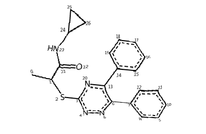 CC(Sc1nnc(-c2ccccc2)c(-c2ccccc2)n1)C(=O)NC1CC1